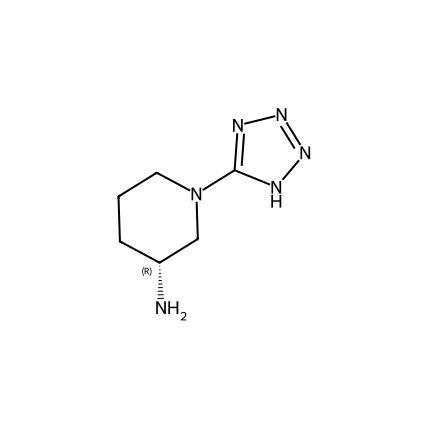 N[C@@H]1CCCN(c2nnn[nH]2)C1